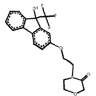 O=C1COCCN1CCOc1ccc2c(c1)C(O)(C(F)(F)F)c1ccccc1-2